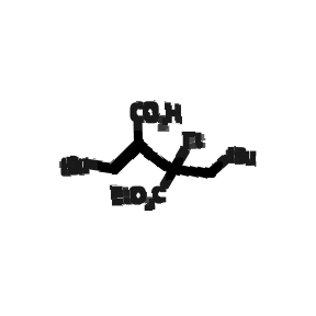 CCOC(=O)C(CC)(CC(C)(C)C)C(CC(C)(C)C)C(=O)O